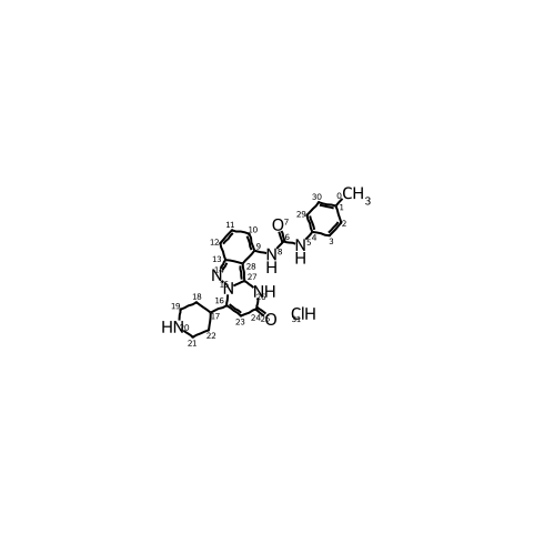 Cc1ccc(NC(=O)Nc2cccc3nn4c(C5CCNCC5)cc(=O)[nH]c4c23)cc1.Cl